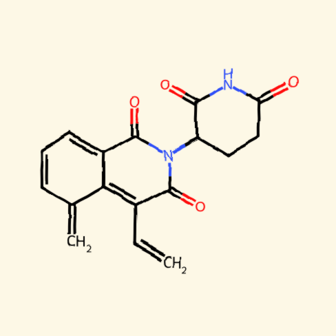 C=CC1=c2c(cccc2=C)C(=O)N(C2CCC(=O)NC2=O)C1=O